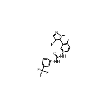 Cc1ccc(NC(=O)Nc2cccc(C(F)(F)F)c2)cc1-c1c(F)cnn1C